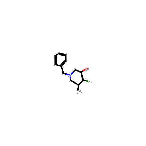 CC1CN(Cc2ccccc2)CC(O)C1F